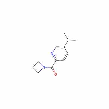 CC(C)c1ccc(C(=O)N2CCC2)nc1